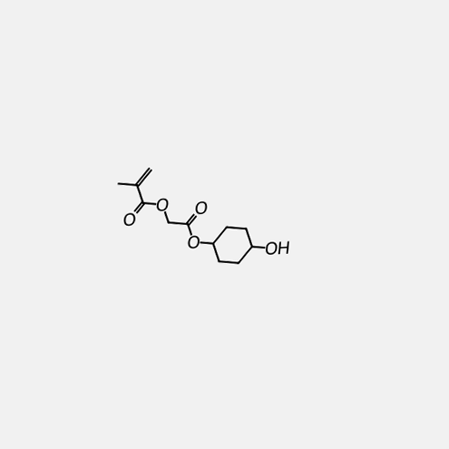 C=C(C)C(=O)OCC(=O)OC1CCC(O)CC1